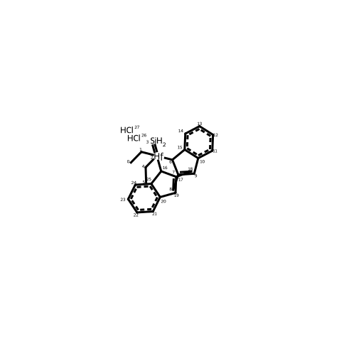 C[CH2][Hf](=[SiH2])([CH2]C)([CH]1C(C)=Cc2ccccc21)[CH]1C(C)=Cc2ccccc21.Cl.Cl